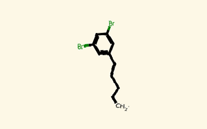 [CH2]CCCCc1cc(Br)cc(Br)c1